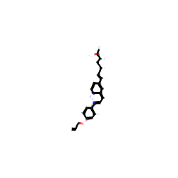 C=CCOc1ccc(-c2ccc3cc(/C=C/CCCC(C)O)ccc3n2)cc1